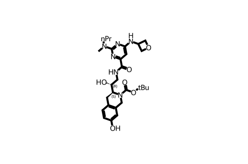 CCCN(C)c1nc(NC2COC2)cc(C(=O)NC[C@@H](O)[C@@H]2Cc3ccc(O)cc3CN2C(=O)OC(C)(C)C)n1